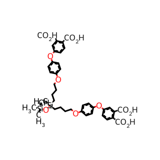 C[Si](C)(C)O[Si](C)(CCCCOc1ccc(Oc2ccc(C(=O)O)c(C(=O)O)c2)cc1)CCCCOc1ccc(Oc2ccc(C(=O)O)c(C(=O)O)c2)cc1